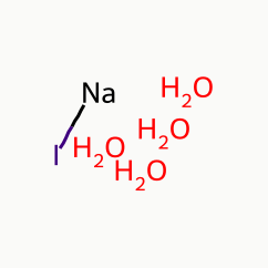 O.O.O.O.[Na][I]